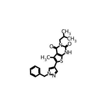 Cc1c(-c2cnn(Cc3ccccc3)c2)sc2[nH]c(=O)n(CC(C)C)c(=O)c12